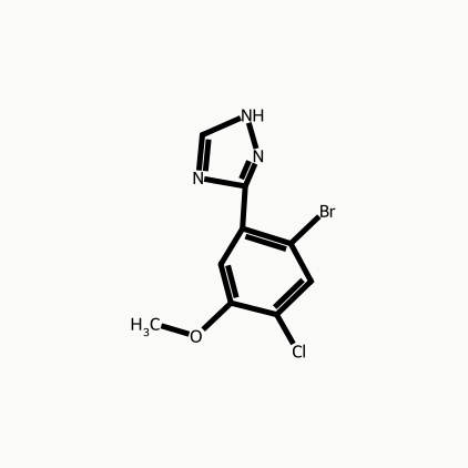 COc1cc(-c2nc[nH]n2)c(Br)cc1Cl